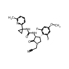 COc1cc(F)c([C@@H]2CN(CC#N)C(=O)[C@H]2NC(=O)NC2(c3cccc(C)n3)CC2)c(F)c1